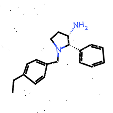 CCc1ccc(CN2CC[C@H](N)[C@@H]2c2ccccc2)cc1